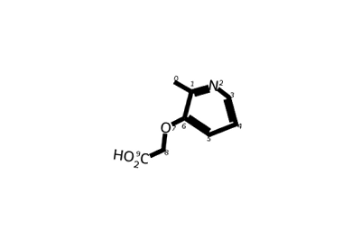 Cc1ncccc1OCC(=O)O